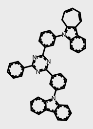 C1=CCc2c(c3ccccc3n2-c2cccc(-c3nc(-c4ccccc4)nc(-c4cccc(-n5c6ccccc6c6ccccc65)c4)n3)c2)C=C1